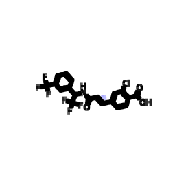 O=C(/C=C/c1ccc(C(=O)O)c(Cl)c1)NC(c1cccc(C(F)(F)F)c1)C(F)(F)F